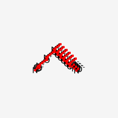 CCCCCCCC[N+]1(C)CCOCC1.CCCCCCCC[N+]1(C)CCOCC1.CCCCCCCC[N+]1(C)CCOCC1.CCCCCCCC[N+]1(C)CCOCC1.CCCCCCCC[N+]1(C)CCOCC1.CCCCCCCC[N+]1(C)CCOCC1.CCCCCCCC[N+]1(C)CCOCC1.CCCCCCCC[N+]1(C)CCOCC1.N#CB([O-])[O-].N#CB([O-])[O-].N#CB([O-])[O-].N#CB([O-])[O-]